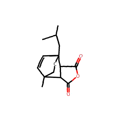 CC(C)CC12C=CC(C)(CC1)C1C(=O)OC(=O)C12